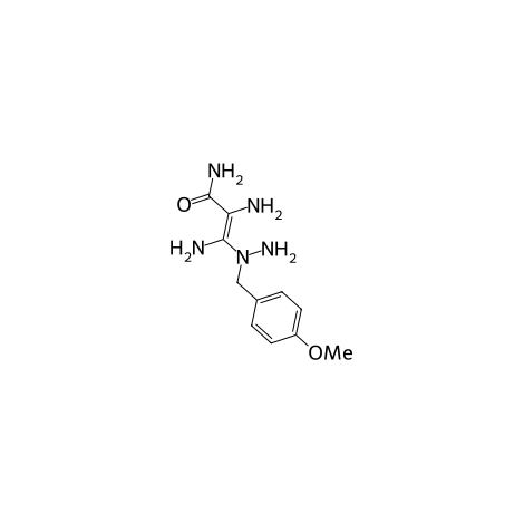 COc1ccc(CN(N)/C(N)=C(\N)C(N)=O)cc1